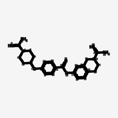 N=C(N)N1CCC(Oc2ccc(C(=O)Oc3ccc4c(c3)CN(C(=N)N)CC4)cc2)CC1